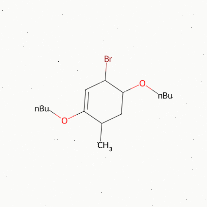 CCCCOC1=CC(Br)C(OCCCC)CC1C